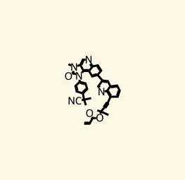 C=CC(=O)OC(C)(C)C#Cc1cccc2cc(-c3ccc4ncc5c(c4c3)n(-c3ccc(C(C)(C)C#N)cc3)c(=O)n5C)cnc12